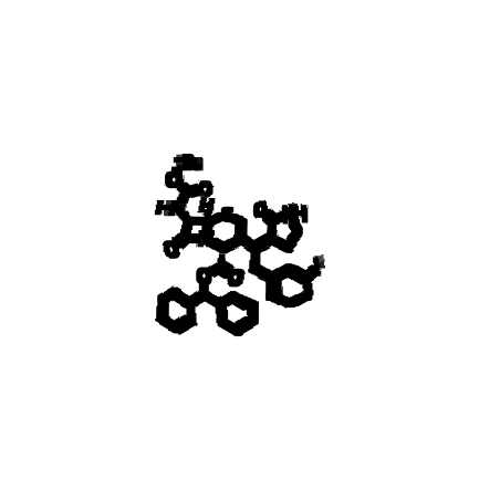 CC(C)(C)OC(=O)N[C@@H]1C(=O)N2[C@@H](C(=O)OC(c3ccccc3)c3ccccc3)C(C(Cc3cccc(F)c3)=C3CCNC3=O)=CS[C@H]12